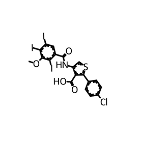 COc1c(I)c(I)cc(C(=O)Nc2csc(-c3ccc(Cl)cc3)c2C(=O)O)c1I